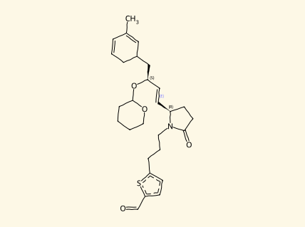 CC1=CC(C[C@@H](/C=C/[C@H]2CCC(=O)N2CCCc2ccc(C=O)s2)OC2CCCCO2)CC=C1